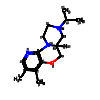 Cc1cnc2c(c1C)OC[C@@H]1CN(C(C)C)CCN21